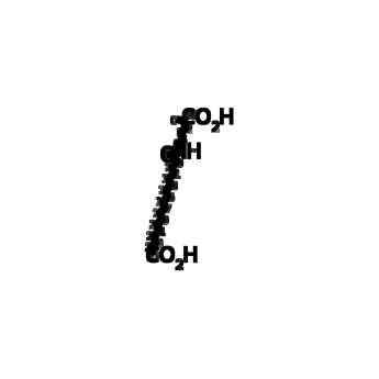 C[C@@H](CCCCNC(=O)CCCCCCCCCCCCCCCCC(=O)O)C(=O)O